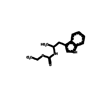 O=C(NC(Cc1c[nH]c2ccccc12)C(=O)O)OCC(Cl)(Cl)Cl